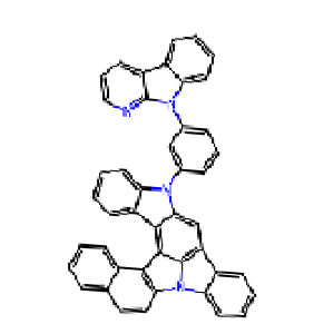 c1cc(-n2c3ccccc3c3c4c5c6ccccc6ccc5n5c6ccccc6c(cc32)c45)cc(-n2c3ccccc3c3cccnc32)c1